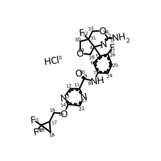 Cl.NC1=NC2(c3cc(NC(=O)c4cnc(OCC5CC5(F)F)cn4)ccc3F)COCC2(F)CO1